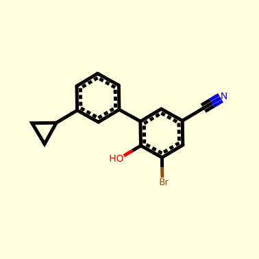 N#Cc1cc(Br)c(O)c(-c2cccc(C3CC3)c2)c1